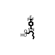 CCCCC1N=C(c2ccc(C(F)(F)F)cc2)SC1CC(=O)O